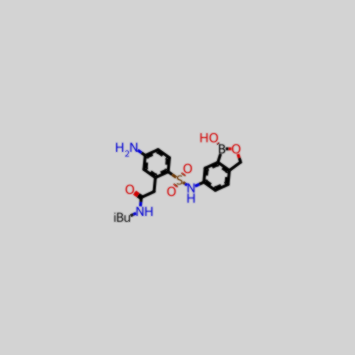 CCC(C)NC(=O)Cc1cc(N)ccc1S(=O)(=O)Nc1ccc2c(c1)B(O)OC2